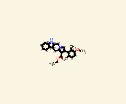 CCOC(=O)c1c(-c2c(C)ccc(OC)c2C)cn2c1Cc1c([nH]c3ccccc13)C2